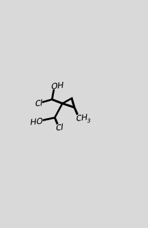 CC1CC1(C(O)Cl)C(O)Cl